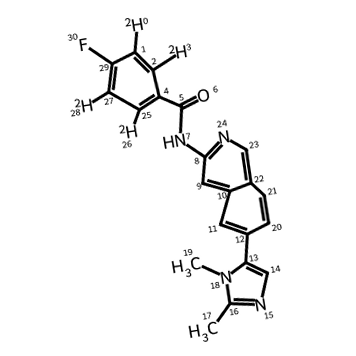 [2H]c1c([2H])c(C(=O)Nc2cc3cc(-c4cnc(C)n4C)ccc3cn2)c([2H])c([2H])c1F